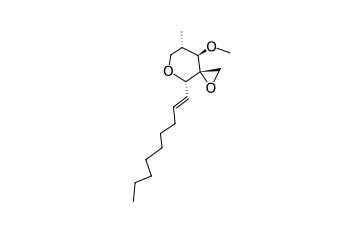 CCCCCCCC=C[C@@H]1OC[C@H](C)[C@@H](OC)[C@@]12CO2